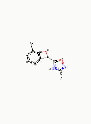 Cc1noc(C2Oc3c(C(C)C)cccc32)n1